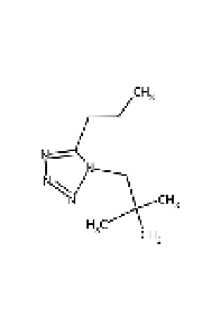 CCCc1nnnn1CC(C)(C)C